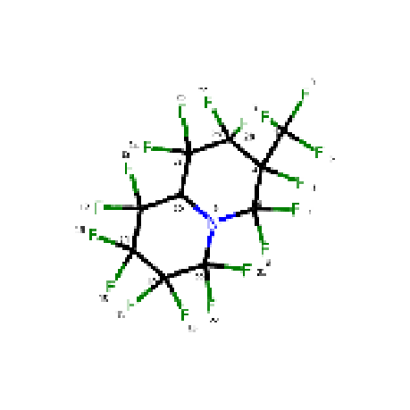 FC(F)(F)C1(F)C(F)(F)N2C(C(F)(F)C(F)(F)C(F)(F)C2(F)F)C(F)(F)C1(F)F